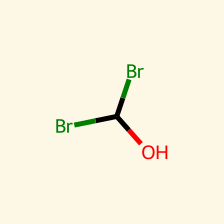 OC(Br)Br